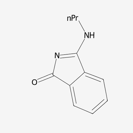 CCCNC1=NC(=O)c2ccccc21